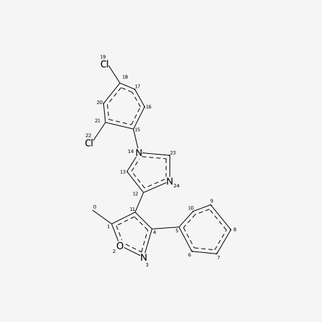 Cc1onc(-c2ccccc2)c1-c1cn(-c2ccc(Cl)cc2Cl)cn1